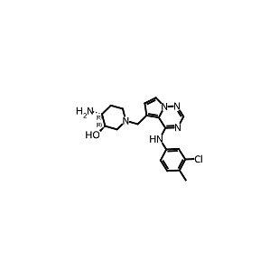 Cc1ccc(Nc2ncnn3ccc(CN4CC[C@@H](N)[C@H](O)C4)c23)cc1Cl